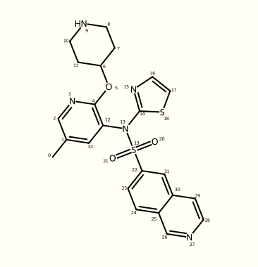 Cc1cnc(OC2CCNCC2)c(N(c2nccs2)S(=O)(=O)c2ccc3cnccc3c2)c1